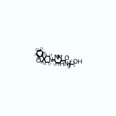 CC(C)(CO)NC(=O)c1ccc(N2CCC3(CC2)COc2ccccc23)nn1